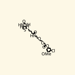 COc1ccc(OC(=O)COCCOCCNC(=O)CCCC[C@@H]2SC[C@@H]3NC(=O)N[C@@H]32)cc1Cl